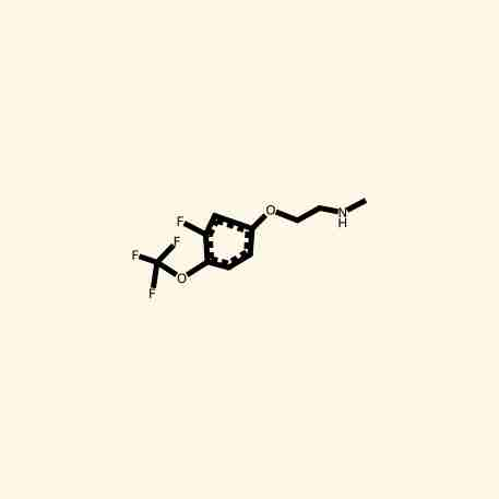 CNCCOc1ccc(OC(F)(F)F)c(F)c1